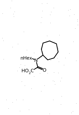 CCCCCCN(C(=O)C(=O)O)C1CCCCCCC1